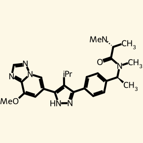 CN[C@H](C)C(=O)N(C)[C@@H](C)c1ccc(-c2n[nH]c(-c3cc(OC)c4ncnn4c3)c2C(C)C)cc1